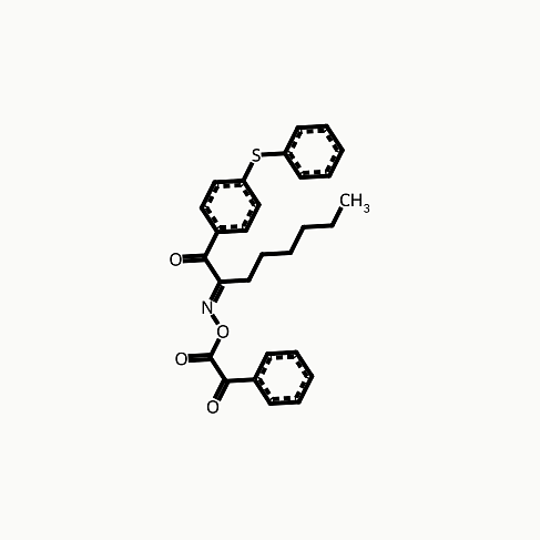 CCCCCC/C(=N\OC(=O)C(=O)c1ccccc1)C(=O)c1ccc(Sc2ccccc2)cc1